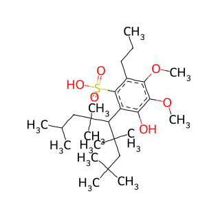 CCCc1c(OC)c(OC)c(O)c(C(C(C)(C)CC(C)C)C(C)(C)CC(C)(C)C)c1S(=O)(=O)O